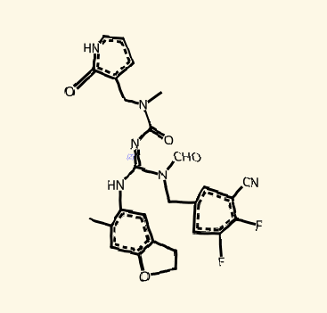 Cc1cc2c(cc1N/C(=N/C(=O)N(C)Cc1ccc[nH]c1=O)N(C=O)Cc1cc(F)c(F)c(C#N)c1)CCO2